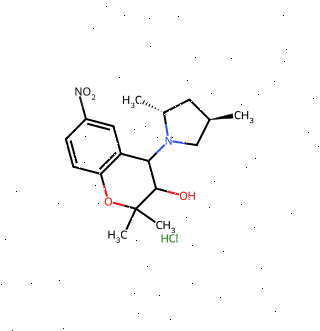 C[C@@H]1C[C@@H](C)N(C2c3cc([N+](=O)[O-])ccc3OC(C)(C)C2O)C1.Cl